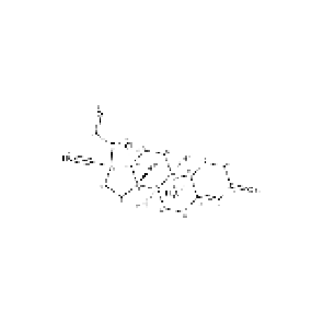 C#CC1(OC=O)CC[C@H]2[C@@H]3CCC4=CC(=O)CC[C@]4(C)[C@@H]3CC[C@@]21C